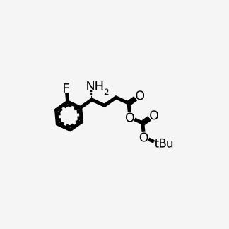 CC(C)(C)OC(=O)OC(=O)CC[C@@H](N)c1ccccc1F